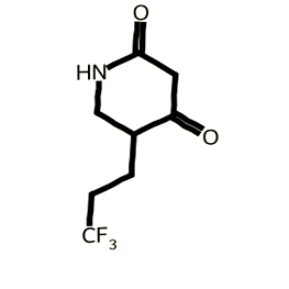 O=C1CC(=O)C(CCC(F)(F)F)CN1